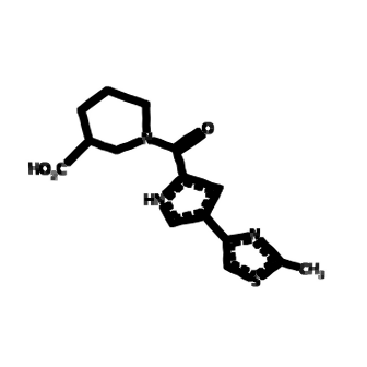 Cc1nc(-c2c[nH]c(C(=O)N3CCCC(C(=O)O)C3)c2)cs1